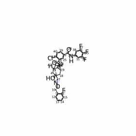 C[C@H]1C[C@H]2C[C@](O)(/C=N/OCc3ccccc3F)CC1C2S(=O)(=O)c1cc(C(=O)Nc2cc(F)c(F)c(F)c2)ccc1Cl